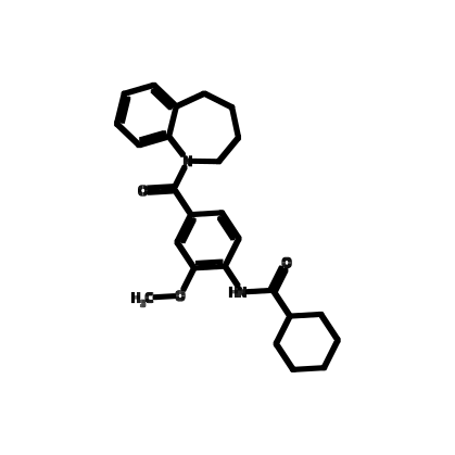 COc1cc(C(=O)N2CCCCc3ccccc32)ccc1NC(=O)C1CCCCC1